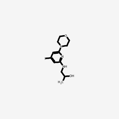 CC(O)CNc1cc(I)cc(N2CCOCC2)n1